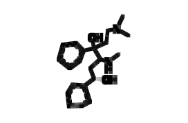 CNC(C[C@H](O)c1ccccc1)C(O)(CCN(C)C)c1ccccc1